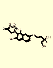 C[C@@](O)(CO)CCOc1ccc2cc(O)c(N3CC(=O)NS3(=O)=O)c(F)c2c1